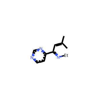 CC/N=C(\C=C(C)C)c1ccncn1